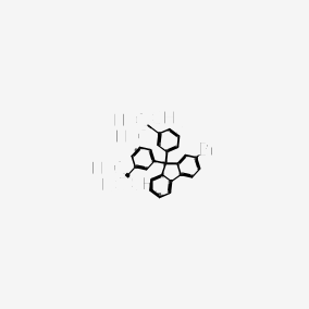 CC(C)(C)c1cccc(C2(c3cccc(C(C)(C)C)c3)c3ccccc3-c3ccc(Br)cc32)c1